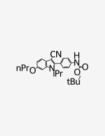 CCCOc1ccc2c(C#N)c(-c3ccc(NC(=O)OCC(C)(C)C)cc3)n(C(C)C)c2c1